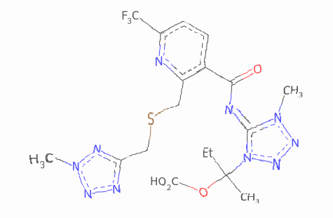 CCC(C)(OC(=O)O)n1nnn(C)c1=NC(=O)c1ccc(C(F)(F)F)nc1CSCc1nnn(C)n1